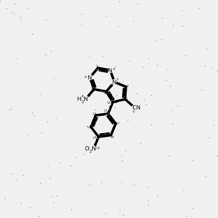 N#Cc1cn2ncnc(N)c2c1-c1ccc([N+](=O)[O-])cc1